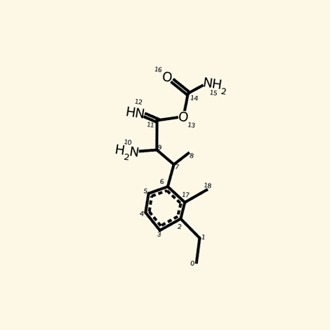 CCc1cccc(C(C)C(N)C(=N)OC(N)=O)c1C